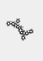 CC1(C)c2cc(N(c3ccccc3)c3ccc(-c4ccccc4)cc3F)ccc2-c2cc3ccc(N(c4ccccc4)c4ccc(-c5ccccc5)cc4F)cc3cc21